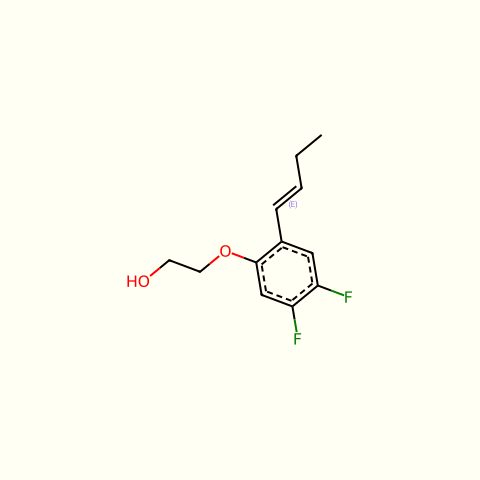 CC/C=C/c1cc(F)c(F)cc1OCCO